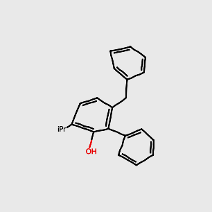 CC(C)c1ccc(Cc2ccccc2)c(-c2ccccc2)c1O